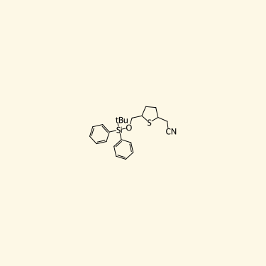 CC(C)(C)[Si](OCC1CCC(CC#N)S1)(c1ccccc1)c1ccccc1